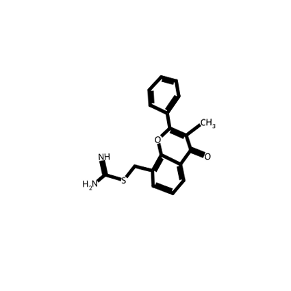 Cc1c(-c2ccccc2)oc2c(CSC(=N)N)cccc2c1=O